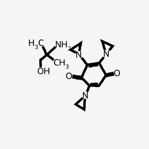 CC(C)(N)CO.O=C1C=C(N2CC2)C(=O)C(N2CC2)=C1N1CC1